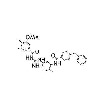 COc1cc(C(=O)NC(=N)Nc2ccc(C)c(NC(=O)c3ccc(Cc4ccccc4)cc3)c2)cc(C)c1C